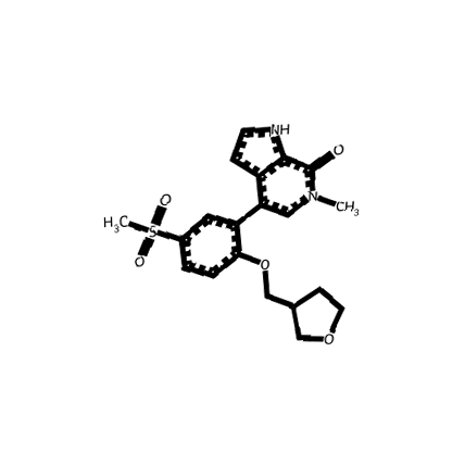 Cn1cc(-c2cc(S(C)(=O)=O)ccc2OCC2CCOC2)c2cc[nH]c2c1=O